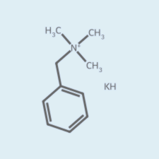 C[N+](C)(C)Cc1ccccc1.[KH]